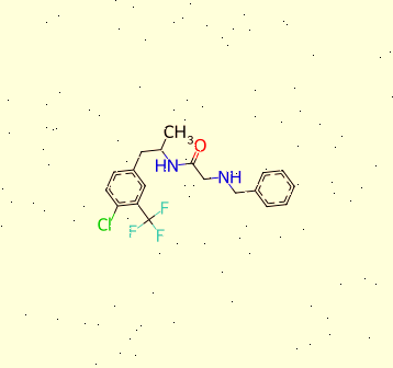 CC(Cc1ccc(Cl)c(C(F)(F)F)c1)NC(=O)CNCc1ccccc1